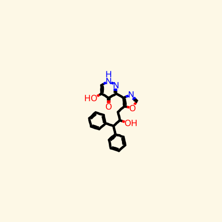 O=c1c(O)c[nH]nc1-c1ncoc1CC(O)C(c1ccccc1)c1ccccc1